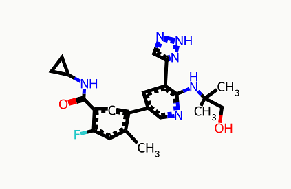 Cc1cc(F)c(C(=O)NC2CC2)cc1-c1cnc(NC(C)(C)CO)c(-c2cn[nH]n2)c1